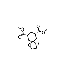 COC(=O)[C@@H]1C[C@H](C(=O)OC)CC2(C1)OCCO2